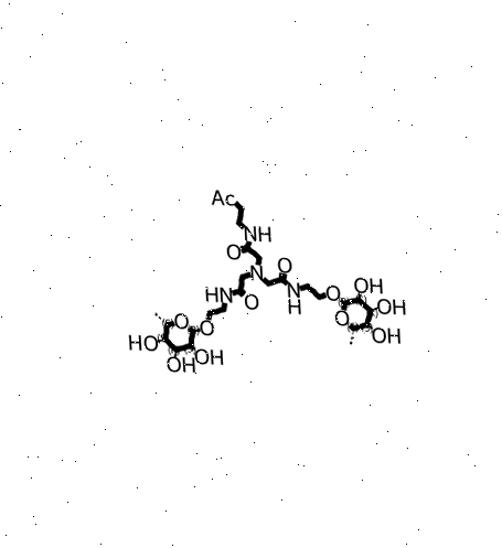 CC(=O)CCNC(=O)CN(CC(=O)NCCO[C@@H]1O[C@@H](C)[C@@H](O)[C@@H](O)[C@@H]1O)CC(=O)NCCO[C@@H]1O[C@@H](C)[C@@H](O)[C@@H](O)[C@@H]1O